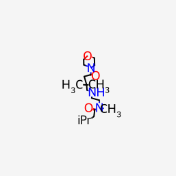 CC(C)CC(=O)N(C)CCNCC(C)(C)CC(=O)N1CCOCC1